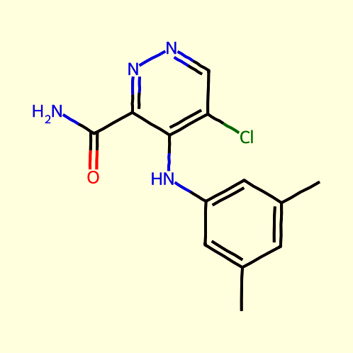 Cc1cc(C)cc(Nc2c(Cl)cnnc2C(N)=O)c1